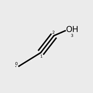 [CH2]C#CO